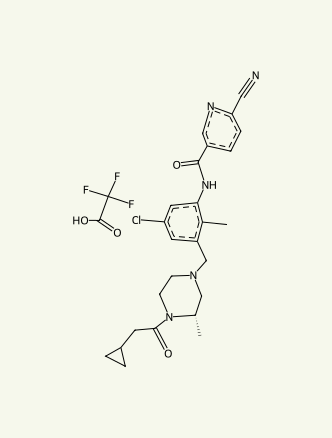 Cc1c(CN2CCN(C(=O)CC3CC3)[C@@H](C)C2)cc(Cl)cc1NC(=O)c1ccc(C#N)nc1.O=C(O)C(F)(F)F